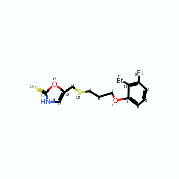 CCc1cccc(OCCCSCc2c[nH]c(=S)o2)c1CC